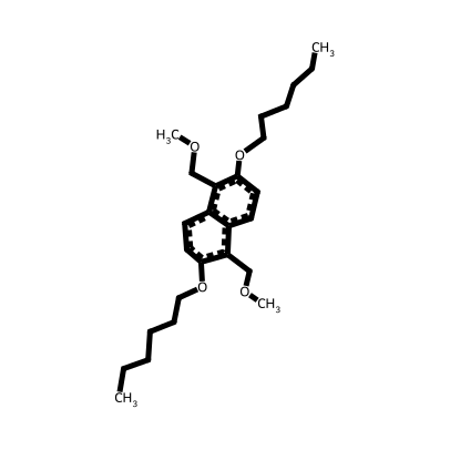 CCCCCCOc1ccc2c(COC)c(OCCCCCC)ccc2c1COC